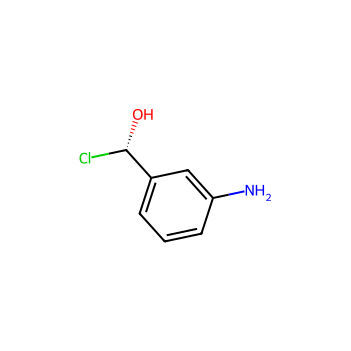 Nc1cccc([C@@H](O)Cl)c1